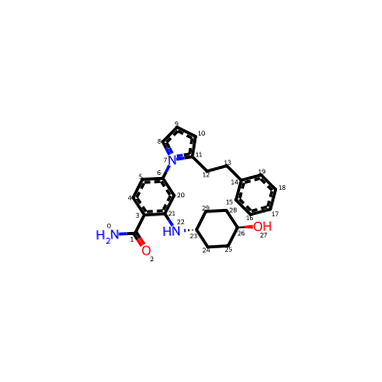 NC(=O)c1ccc(-n2cccc2CCc2ccccc2)cc1N[C@H]1CC[C@H](O)CC1